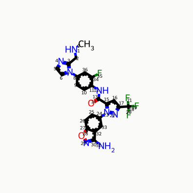 CNCc1nccn1-c1ccc(NC(=O)c2cc(C(F)(F)F)nn2-c2ccc3onc(N)c3c2)c(F)c1